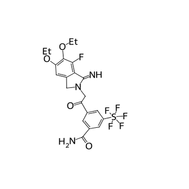 CCOc1cc2c(c(F)c1OCC)C(=N)N(CC(=O)c1cc(C(N)=O)cc(S(F)(F)(F)(F)F)c1)C2